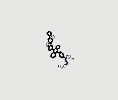 C/C=C\C=C(/C)c1ccc(-c2c3ccccc3c(-c3ccc4oc5cc6c(cc5c4c3)oc3ccccc36)c3ccccc23)cc1